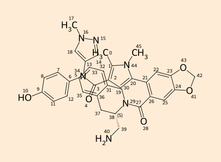 Cc1c(C(=O)N(c2ccc(O)cc2)c2cnn(C)c2)cc(-c2cc3c(cc2C(=O)N2Cc4ccccc4C[C@H]2CN)OCO3)n1C